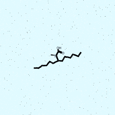 CCCCCCC(CCCCCC)[C@@H](C)C(=O)O